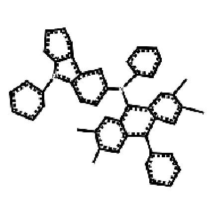 Cc1cc2c(-c3ccccc3)c3cc(C)c(C)cc3c(N(c3ccccc3)c3ccc4c(c3)c3ccccc3n4-c3ccccc3)c2cc1C